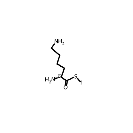 NCCCC[C@H](N)C(=O)SI